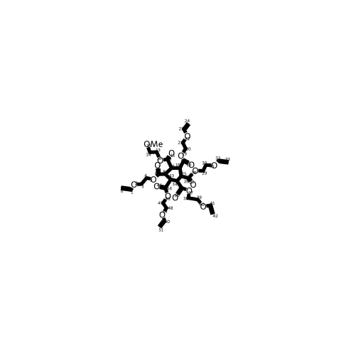 C=COCCOC(=O)C1C(C(=O)OCCOC)C(C(=O)OCCOC=C)C(C(=O)OCCOC=C)C(C(=O)OCCOC=C)C1C(=O)OCCOC=C